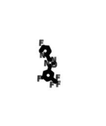 Fc1ccc(-c2noc(-c3cc(F)cc(C(F)(F)F)c3)n2)nc1